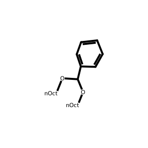 CCCCCCCCOC(OCCCCCCCC)c1ccccc1